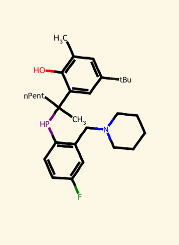 CCCCCC(C)(Pc1ccc(F)cc1CN1CCCCC1)c1cc(C(C)(C)C)cc(C)c1O